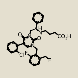 O=C(O)CCCN[C@@H](Cn1c(=O)c(-c2ccccc2Cl)cn(Cc2c(F)cccc2CF)c1=O)c1ccccc1